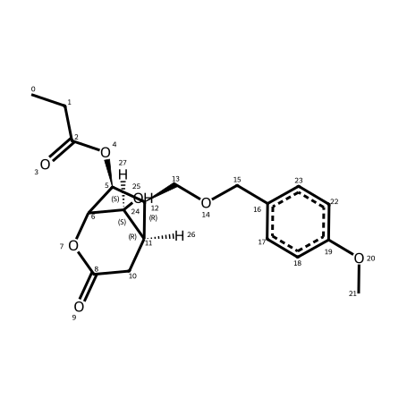 CCC(=O)O[C@@H]1C2OC(=O)C[C@H]([C@@H]1COCc1ccc(OC)cc1)[C@@H]2O